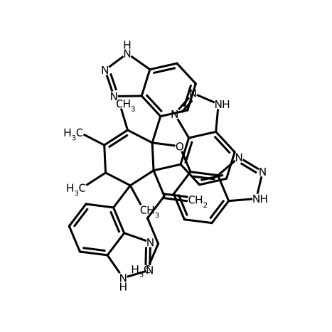 C=C(CCC)C1(c2cccc3[nH]nnc23)C(Oc2cccc3[nH]nnc23)(c2cccc3[nH]nnc23)C(C)=C(C)C(C)C1(C)c1cccc2[nH]nnc12